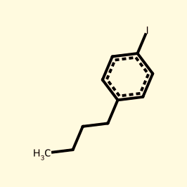 CCCCc1ccc(I)cc1